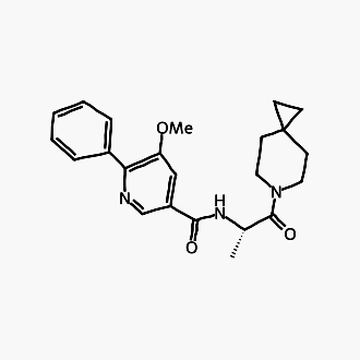 COc1cc(C(=O)N[C@@H](C)C(=O)N2CCC3(CC2)CC3)cnc1-c1ccccc1